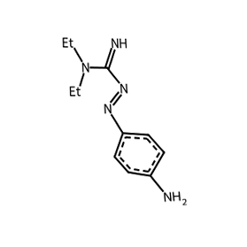 CCN(CC)C(=N)N=Nc1ccc(N)cc1